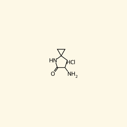 Cl.NC1CC2(CC2)NC1=O